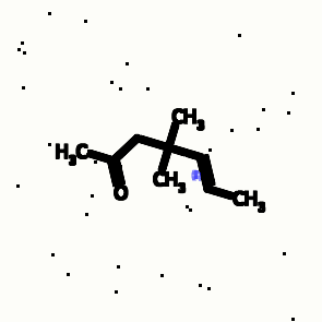 C/C=C/C(C)(C)CC(C)=O